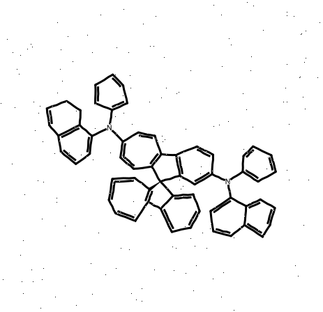 C1=CC=CC2=C(C=1)[C@]1(C3=C(C=CC(N(c4ccccc4)c4cccc5c4CCC=C5)=C=C3)c3ccc(N(c4ccccc4)c4cccc5ccccc45)cc31)c1ccccc12